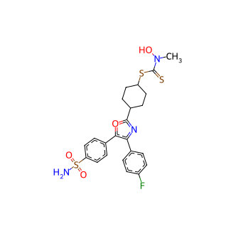 CN(O)C(=S)SC1CCC(c2nc(-c3ccc(F)cc3)c(-c3ccc(S(N)(=O)=O)cc3)o2)CC1